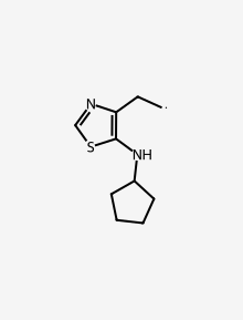 [CH2]Cc1ncsc1NC1CCCC1